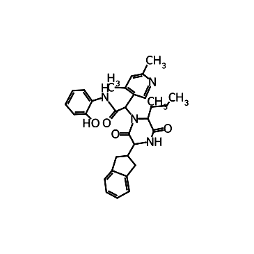 CCC(C)C1C(=O)NC(C2Cc3ccccc3C2)C(=O)N1C(C(=O)Nc1ccccc1O)c1cnc(C)cc1C